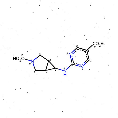 CCOC(=O)c1cnc(NC2C3CN(C(=O)O)CC32)nc1